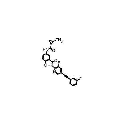 C[C@H]1C[C@@H]1C(=O)Nc1ccc(Cl)c(C(=O)Nc2ncc(C#Cc3cccc(F)c3)cc2F)c1